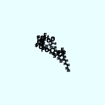 C=C(C)C(=O)OCC(F)(F)OC(F)(F)OC(F)(F)OC(F)(F)COc1ccc2cc(-c3ccc(CCCCC)cc3C(F)(F)F)sc2c1